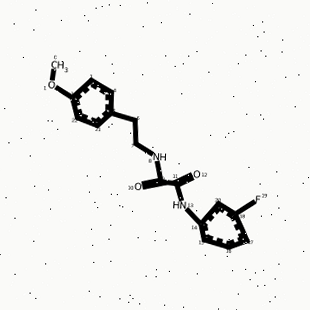 COc1ccc(CCNC(=O)C(=O)Nc2cccc(F)c2)cc1